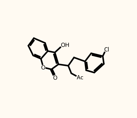 CC(=O)CC(Cc1cccc(Cl)c1)c1c(O)c2ccccc2oc1=O